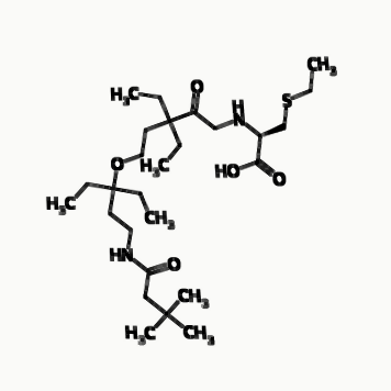 CCSC[C@H](NCC(=O)C(CC)(CC)CCOC(CC)(CC)CCNC(=O)CC(C)(C)C)C(=O)O